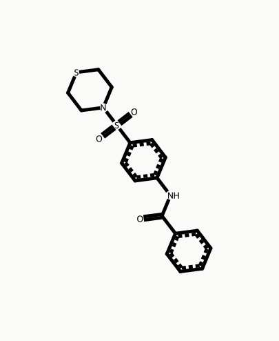 O=C(Nc1ccc(S(=O)(=O)N2CCSCC2)cc1)c1ccccc1